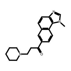 Cn1cnc2ccc3cc(C(=O)CCN4CCCCC4)ccc3c21